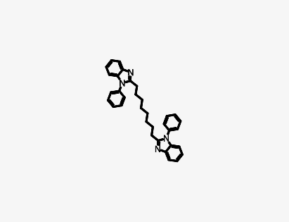 c1ccc(-n2c(CCCCCCCCc3nc4ccccc4n3-c3ccccc3)nc3ccccc32)cc1